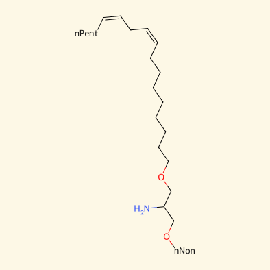 CCCCC/C=C\C/C=C\CCCCCCCCOCC(N)COCCCCCCCCC